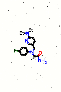 CCN(CC)c1ccc(CN(c2ccc(F)cc2)[C@@H](C)C(N)=O)cn1